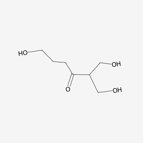 O=C(CCCO)C(CO)CO